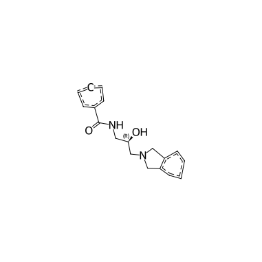 O=C(NC[C@@H](O)CN1Cc2ccccc2C1)c1ccccc1